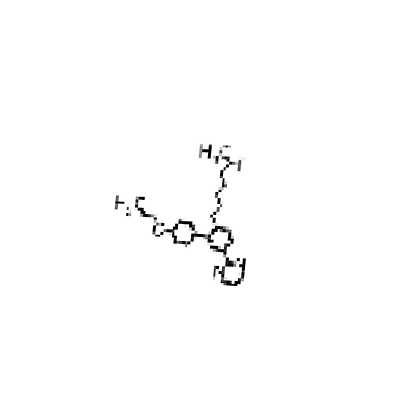 C=CCOc1ccc(-c2cc(-c3ncccn3)ccc2CCCCCC(C)F)cc1